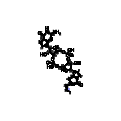 C/C=N\c1nc2c(ncn2[C@@H]2O[C@@H]3COP(=O)(O)OC4[C@@H](COP(=O)(O)OC3[C@@H]2O)O[C@@H](n2cnc3c(=O)[nH]c(N)nc32)[C@H]4O)c(=O)[nH]1